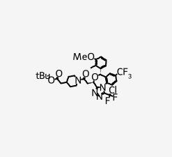 COc1cccc([C@H]2O[C@H](CC(=O)N3CCC(CC(=O)OC(C)(C)C)CC3)c3nnc(C(F)(F)Cl)n3-c3ccc(C(F)(F)F)cc32)c1C